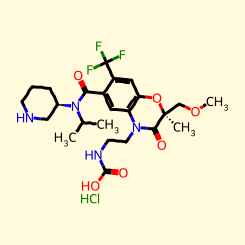 COC[C@]1(C)Oc2cc(C(F)(F)F)c(C(=O)N(C(C)C)[C@@H]3CCCNC3)cc2N(CCNC(=O)O)C1=O.Cl